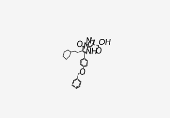 O=C(O)c1cnn2c(=O)c(CCC3CCCCC3)c(-c3ccc(OCc4ccccc4)cc3)[nH]c12